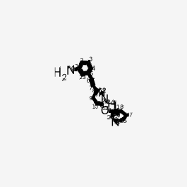 Nc1cccc(C#Cc2ccc(O[C@H]3CN4CCC3CC4)nn2)c1